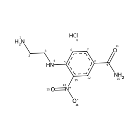 Cl.NCCNc1ccc(C(N)=O)cc1[N+](=O)[O-]